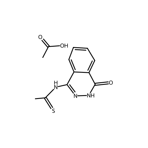 CC(=O)O.CC(=S)Nc1n[nH]c(=O)c2ccccc12